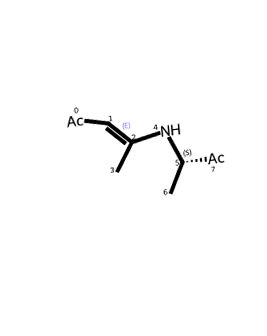 CC(=O)/C=C(\C)N[C@@H](C)C(C)=O